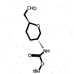 CC(C)(C)OC(=O)N[C@@H]1CC[C@@H](CC=O)OC1